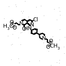 CS(=O)(=O)CCN1CCC(c2ccc(Nc3nc(Cl)cc4ccn(CCS(C)(=O)=O)c(=O)c34)cc2)CC1